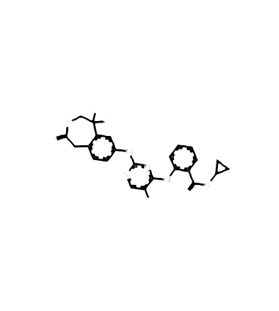 CC1(C)CNC(=O)Cc2ccc(Nc3ncc(Cl)c(Nc4ccccc4C(=O)NC4CC4)n3)cc21